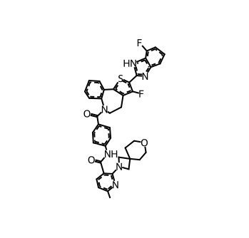 Cc1ccc(C(=O)Nc2ccc(C(=O)N3CCc4c(sc(-c5nc6cccc(F)c6[nH]5)c4F)-c4ccccc43)cc2)c(N2CC3(CCOCC3)C2)n1